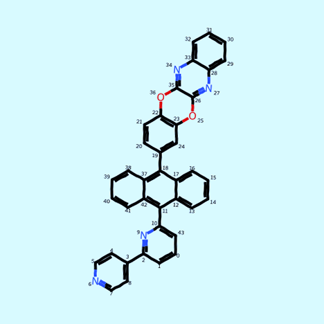 c1cc(-c2ccncc2)nc(-c2c3ccccc3c(-c3ccc4c(c3)Oc3nc5ccccc5nc3O4)c3ccccc23)c1